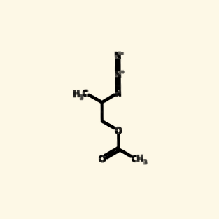 CC(=O)OCC(C)N=[N+]=[N-]